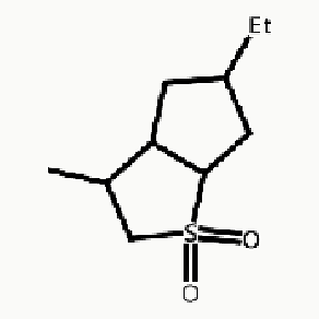 CCC1CC2C(C)CS(=O)(=O)C2C1